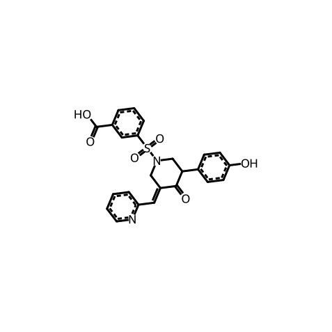 O=C(O)c1cccc(S(=O)(=O)N2CC(=Cc3ccccn3)C(=O)C(c3ccc(O)cc3)C2)c1